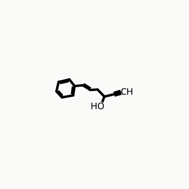 C#CC(O)C/C=C/c1ccccc1